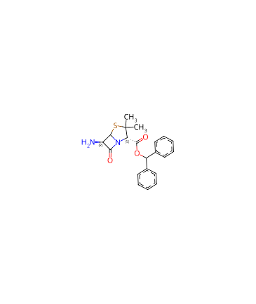 CC1(C)SC2[C@H](N)C(=O)N2[C@H]1C(=O)OC(c1ccccc1)c1ccccc1